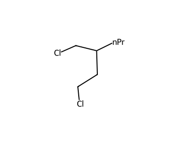 CCCC(CCl)CCCl